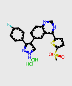 CS(=O)(=O)c1ccc(-c2ncnc3ccc(-c4c[nH]nc4-c4ccc(F)cc4)cc23)s1.Cl.Cl